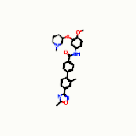 COc1ccc(NC(=O)c2ccc(-c3ccc(-c4noc(C)n4)cc3C)cc2)cc1OC1CCCN(C)C1